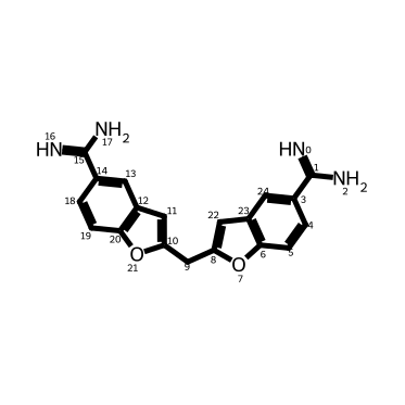 N=C(N)c1ccc2oc(Cc3cc4cc(C(=N)N)ccc4o3)cc2c1